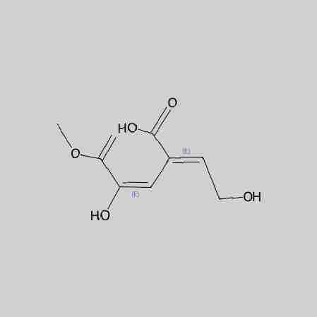 C=C(OC)/C(O)=C\C(=C/CO)C(=O)O